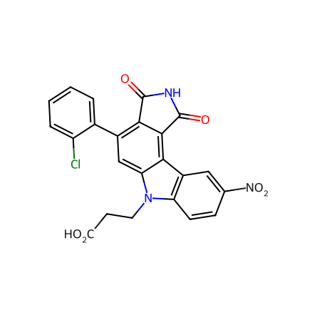 O=C(O)CCn1c2ccc([N+](=O)[O-])cc2c2c3c(c(-c4ccccc4Cl)cc21)C(=O)NC3=O